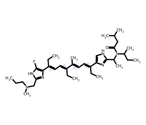 CCCN(C)Cc1nc(/C(=C/C=C(CC)/C(C)=C/C=C(\CC)c2c[nH]c(C(C)N(C(=O)CC(C)C)C(C)CC)n2)CC)c(F)[nH]1